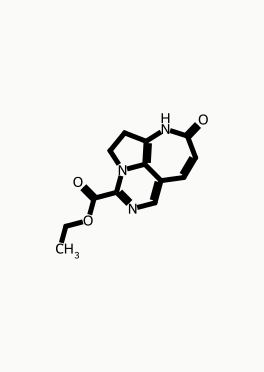 CCOC(=O)C1=NC=C2C=CC(=O)NC3=C2N1CC3